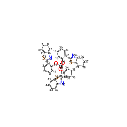 c1ccc(-c2nc3ccccc3s2)c([O][Al]([O]c2ccccc2-c2nc3ccccc3s2)[O]c2ccccc2-c2nc3ccccc3s2)c1